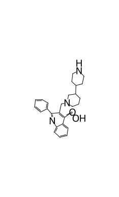 O=C(O)c1c(CN2CCCC(C3CCNCC3)C2)c(-c2ccccc2)nc2ccccc12